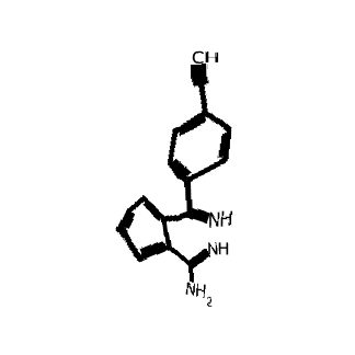 C#Cc1ccc(C(=N)c2ccccc2C(=N)N)cc1